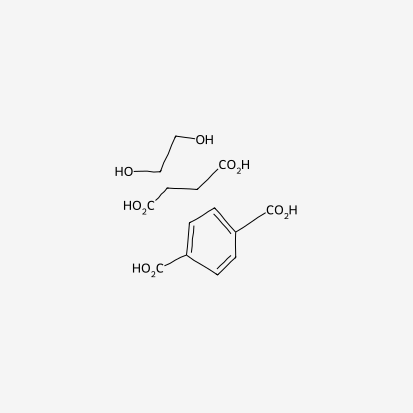 O=C(O)CCC(=O)O.O=C(O)c1ccc(C(=O)O)cc1.OCCO